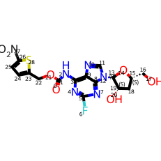 O=C(Nc1nc(F)nc2c1ncn2[C@@H]1O[C@H](CO)C[C@@H]1O)OCc1ccc([N+](=O)[O-])s1